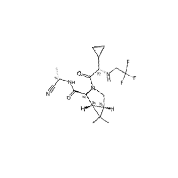 C[C@@H](C#N)NC(=O)[C@@H]1[C@@H]2[C@H](CN1C(=O)[C@@H](NCC(F)(F)F)C1CC1)C2(C)C